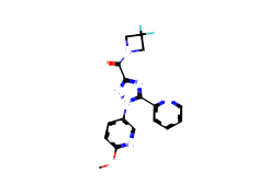 COc1ccc(-n2nc(C(=O)N3CC(F)(F)C3)nc2-c2ccccn2)cn1